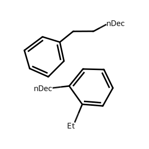 CCCCCCCCCCCCc1ccccc1.CCCCCCCCCCc1ccccc1CC